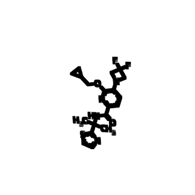 CC(C)(NC(=O)c1ccc(N2CC(F)(F)C2)c(OCC2CC2)n1)c1nccs1